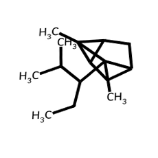 CCC(C(C)C)C1(C)C2CC3C(C2)C31C